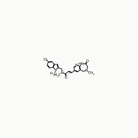 CN1CC(=O)Nc2ncc(/C=C/C(=O)N(C)Cc3cc4cc(Cl)ccc4n3C)cc2C1